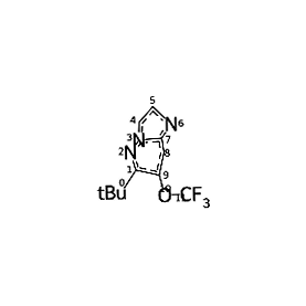 CC(C)(C)c1nn2ccnc2cc1OC(F)(F)F